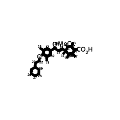 COC1C(C)=C(C(=O)O)C(C)=C(C)C1(C)C=CC(=O)c1cc(C)c(OCCC2CCCCC2)c(C)c1